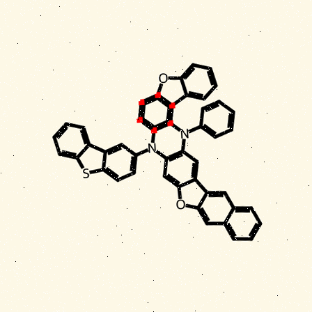 c1ccc(N(c2ccc3sc4ccccc4c3c2)c2cc3oc4cc5ccccc5cc4c3cc2N(c2ccccc2)c2cccc3oc4ccccc4c23)cc1